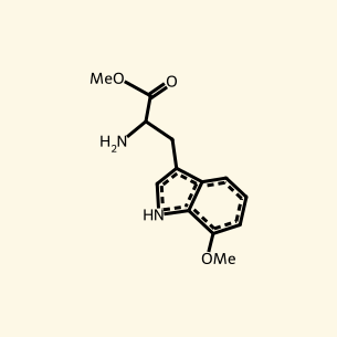 COC(=O)C(N)Cc1c[nH]c2c(OC)cccc12